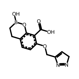 O=C(O)c1c(OCC2=CCN=N2)ccc2c1OB(O)CC2